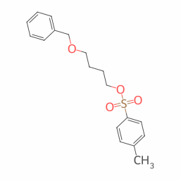 Cc1ccc(S(=O)(=O)OCCCCOCc2ccccc2)cc1